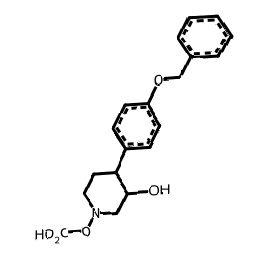 O=C(O)ON1CCC(c2ccc(OCc3ccccc3)cc2)C(O)C1